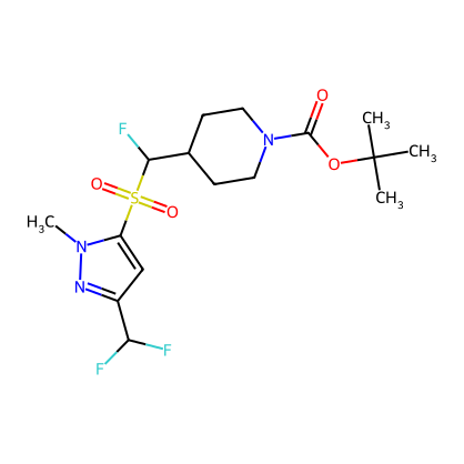 Cn1nc(C(F)F)cc1S(=O)(=O)C(F)C1CCN(C(=O)OC(C)(C)C)CC1